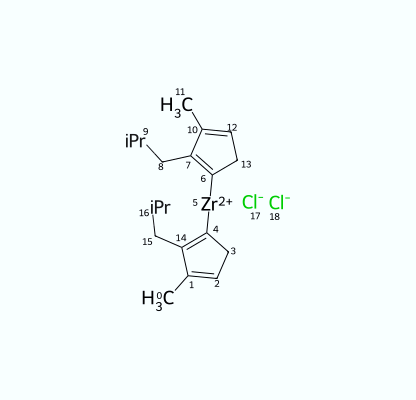 CC1=CC[C]([Zr+2][C]2=C(CC(C)C)C(C)=CC2)=C1CC(C)C.[Cl-].[Cl-]